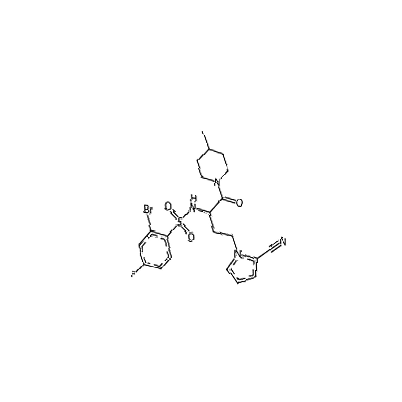 CC1CCN(C(=O)C(CCn2cccc2C#N)NS(=O)(=O)c2ccc(F)cc2Br)CC1